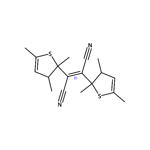 CC1=CC(C)C(C)(/C(C#N)=C(\C#N)C2(C)SC(C)=CC2C)S1